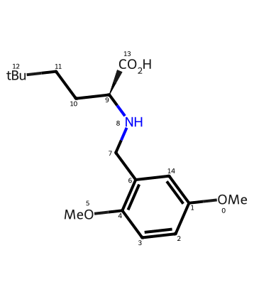 COc1ccc(OC)c(CN[C@@H](CCC(C)(C)C)C(=O)O)c1